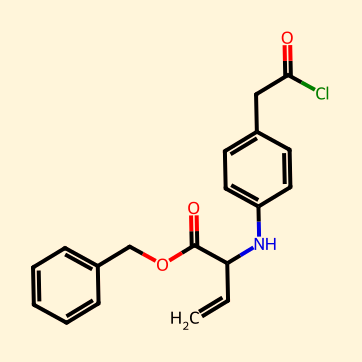 C=CC(Nc1ccc(CC(=O)Cl)cc1)C(=O)OCc1ccccc1